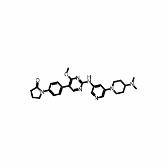 COc1nc(Nc2cncc(N3CCC(N(C)C)CC3)c2)ncc1-c1ccc(N2CCCC2=O)cc1